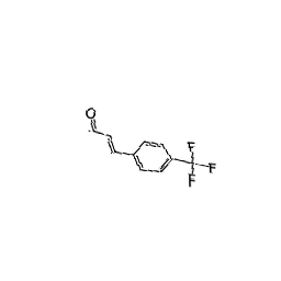 O=[C]C=Cc1ccc(C(F)(F)F)cc1